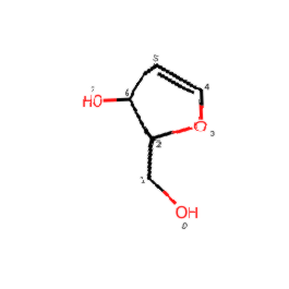 OCC1OC=CC1O